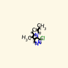 CC=CCn1c(CC)c(C)c2cnnc(Cl)c21